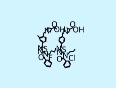 CCCCN(C(=O)c1ccccc1Cl)c1nnc(-c2ccc(CN3CC(C(=O)O)C3)cc2)s1.CCCCN(C(=O)c1ccccc1F)c1nnc(-c2ccc(CN3CC(C(=O)O)C3)c(C)c2)s1